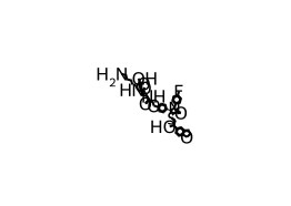 NCCCC[C@@H](NC(=O)CNC(=O)COc1ccc([C@@H]2[C@@H](SCC(O)c3ccc4c(c3)CCO4)C(=O)N2c2ccc(F)cc2)cc1)C(=O)O